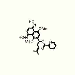 COc1cc(C(CC=C(C)C)OC(=O)c2ccccn2)c(OC)c2c1C(=NO)C=CC2=NO